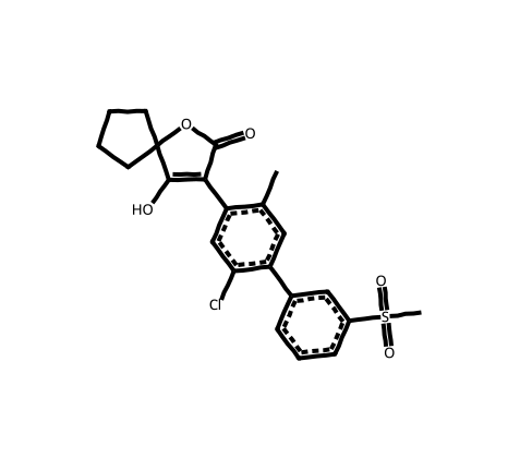 Cc1cc(-c2cccc(S(C)(=O)=O)c2)c(Cl)cc1C1=C(O)C2(CCCC2)OC1=O